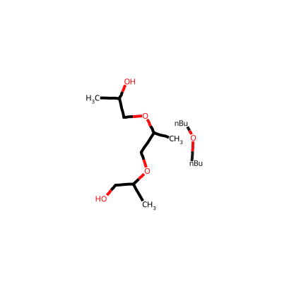 CC(O)COC(C)COC(C)CO.CCCCOCCCC